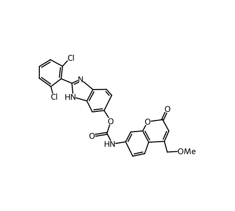 COCc1cc(=O)oc2cc(NC(=O)Oc3ccc4nc(-c5c(Cl)cccc5Cl)[nH]c4c3)ccc12